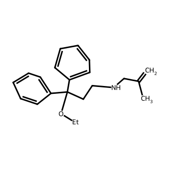 C=C(C)CNCCC(OCC)(c1ccccc1)c1ccccc1